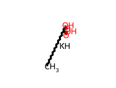 CCCCCCCCCCCCCCCCCCC(=CC(=O)O)C(=O)O.[KH]